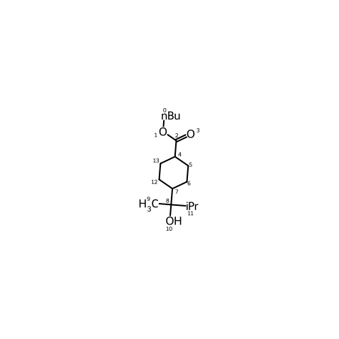 CCCCOC(=O)C1CCC(C(C)(O)C(C)C)CC1